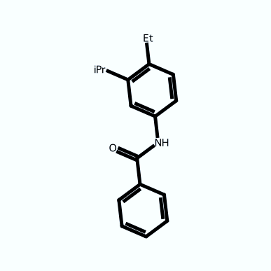 CCc1ccc(NC(=O)c2ccccc2)cc1C(C)C